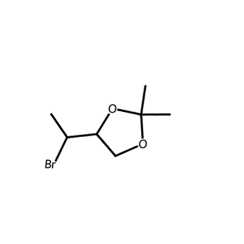 CC(Br)C1COC(C)(C)O1